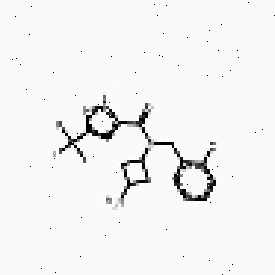 NC1CC(N(Cc2ccccc2Cl)C(=O)c2cc(C(F)(F)F)n[nH]2)C1